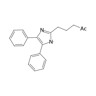 CC(=O)CCCC1=NC(c2ccccc2)=C(c2ccccc2)[N]1